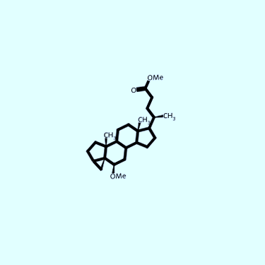 COC(=O)CC[C@@H](C)C1CCC2C3C[C@@H](OC)[C@]45CC4CC[C@]5(C)C3CC[C@@]21C